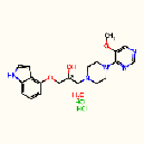 COc1cncnc1N1CCN(C[C@H](O)COc2cccc3[nH]ccc23)CC1.Cl.Cl.O